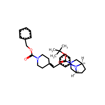 CC(C)(C)OC(=O)N1C[C@H]2CC[C@@H](C1)N2c1cccc(C=C2CCN(C(=O)OCc3ccccc3)CC2)c1